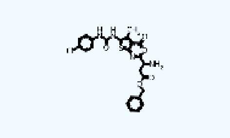 Cc1c(NC(=O)Nc2ccc(Cl)cc2)sc2nc(C(N)CC(=O)OCc3ccccc3)oc(=O)c12